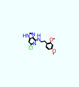 COc1ccc(CCNc2nc(Cl)cc3[nH]cnc23)c(OC)c1